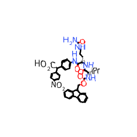 CC(C)[C@H](NC(=O)OCC1c2ccccc2-c2ccccc21)C(=O)N[C@@H](CCCNC(N)=O)C(=O)Nc1ccc(C(C(=O)O)c2ccc([N+](=O)[O-])cc2)cc1